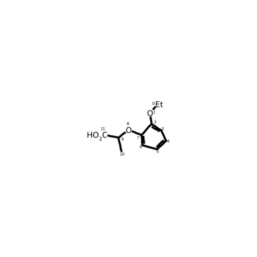 CCOc1ccccc1OC(C)C(=O)O